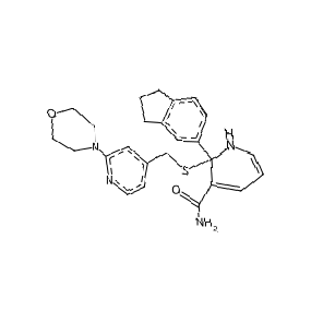 NC(=O)C1=CC=CNC1(SCc1ccnc(N2CCOCC2)c1)c1ccc2c(c1)CCC2